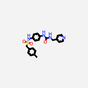 Cc1ccc(CS(=O)(=O)Nc2ccc(NC(=O)NCc3ccncc3)cc2)cc1